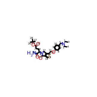 CCN(CC)Cc1ccc(OCc2scc3c2CN(C(CCC(=O)OC(C)(C)C)C(N)=O)C3=O)cc1